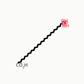 O=C(O)CCCCCCCCCCCCCCCCCCCCCCCCCCCP(=O)(O)O